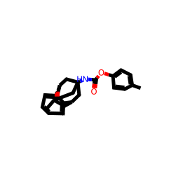 Cc1ccc(OC(=O)NC23CC4CC(C)(CC(C2)c2ccccc24)C3)cc1